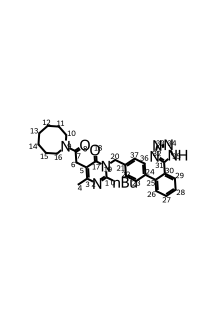 CCCCc1nc(C)c(CC(=O)N2CCCCCCC2)c(=O)n1Cc1ccc(-c2ccccc2-c2nnn[nH]2)cc1